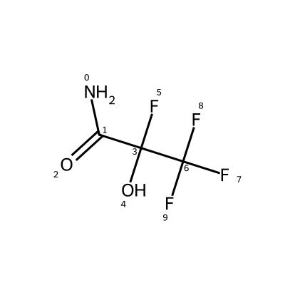 NC(=O)C(O)(F)C(F)(F)F